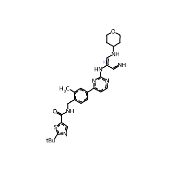 Cc1cc(-c2ccnc(N/C(C=N)=C/NC3CCOCC3)n2)ccc1CNC(=O)c1cnc(C(C)(C)C)s1